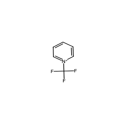 FC(F)(F)[n+]1ccccc1